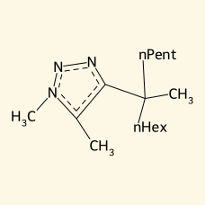 CCCCCCC(C)(CCCCC)c1nnn(C)c1C